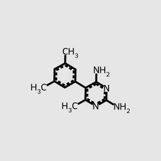 Cc1cc(C)cc(-c2c(C)nc(N)nc2N)c1